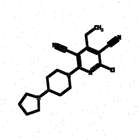 CCc1c(C#N)c(Cl)nc(N2CCC(N3CCCC3)CC2)c1C#N